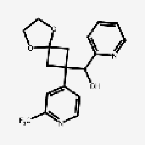 OC(c1ccccn1)C1(c2ccnc(C(F)(F)F)c2)CC2(C1)OCCO2